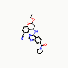 CCOC(=O)CC(Nc1ncnc2cc(C(=O)N3CCCC3)ccc12)c1cccc(C#N)c1